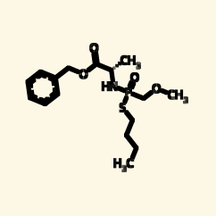 CCCCSP(=O)(COC)N[C@@H](C)C(=O)OCc1ccccc1